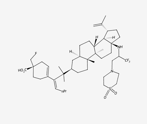 C=C(C)[C@@H]1CC[C@]2(NC(CN3CCS(=O)(=O)CC3)C(F)(F)F)CC[C@]3(C)[C@H](CC[C@@H]4C[C@H](C(C)(C)/C(=C\CCC)C5=CC[C@](CF)(C(=O)O)CC5)CC[C@]43C)[C@@H]12